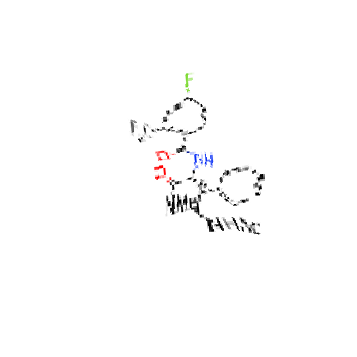 CNC(=O)C(NC(=O)c1ccc(F)cc1C(F)(F)F)[C@H](CNC(C)=O)c1ccccc1